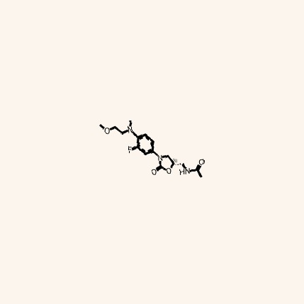 COCCN(C)c1ccc(N2C[C@H](CNC(C)=O)OC2=O)cc1F